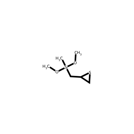 CO[Si](C)(CC1CS1)OC